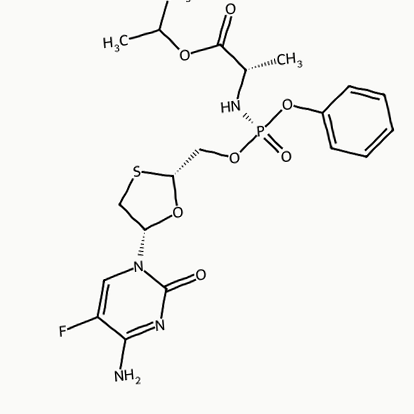 CC(C)OC(=O)[C@H](C)N[P@](=O)(OC[C@@H]1O[C@H](n2cc(F)c(N)nc2=O)CS1)Oc1ccccc1